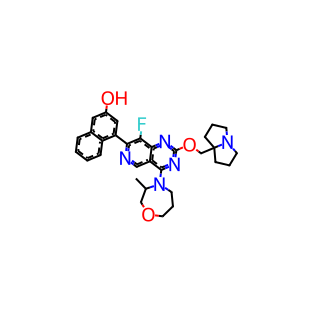 CC1COCCCN1c1nc(OCC23CCCN2CCC3)nc2c(F)c(-c3cc(O)cc4ccccc34)ncc12